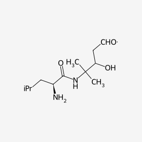 CC(C)C[C@H](N)C(=O)NC(C)(C)C(O)C[C]=O